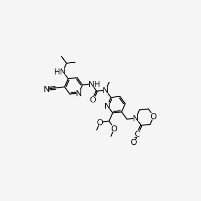 COC(OC)c1nc(N(C)C(=O)Nc2cc(NC(C)C)c(C#N)cn2)ccc1CN1CCOCC1=C=O